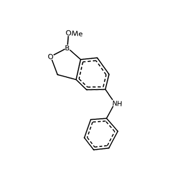 COB1OCc2cc(Nc3ccccc3)ccc21